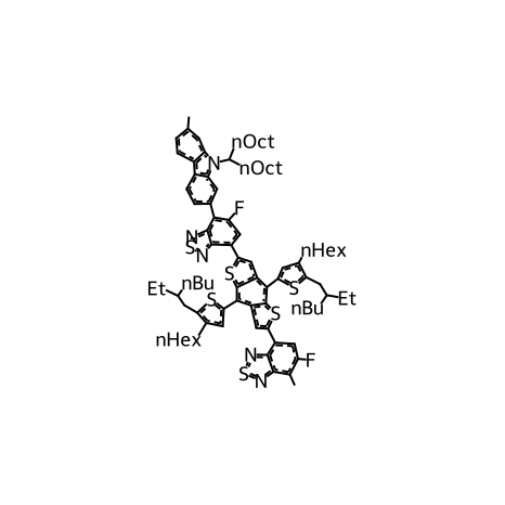 CCCCCCCCC(CCCCCCCC)n1c2cc(C)ccc2c2ccc(-c3c(F)cc(-c4cc5c(-c6cc(CCCCCC)c(CC(CC)CCCC)s6)c6sc(-c7cc(F)c(C)c8nsnc78)cc6c(-c6cc(CCCCCC)c(CC(CC)CCCC)s6)c5s4)c4nsnc34)cc21